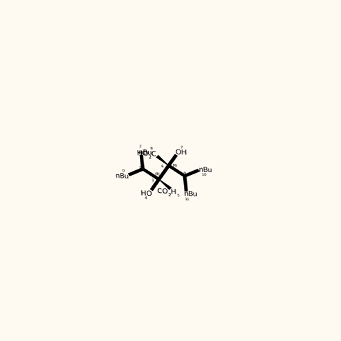 CCCCC(CCCC)[C@](O)(C(=O)O)[C@@](O)(C(=O)O)C(CCCC)CCCC